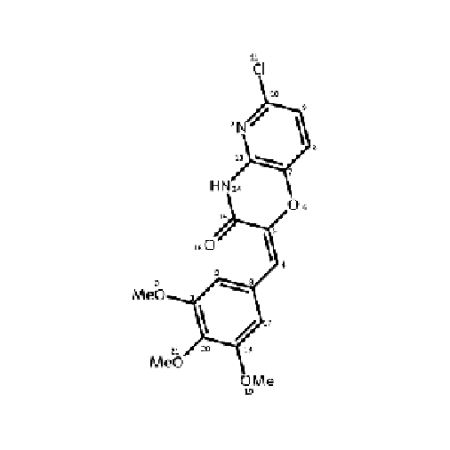 COc1cc(C=C2Oc3ccc(Cl)nc3NC2=O)cc(OC)c1OC